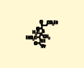 CCOC(=O)CC(=O)C(=O)SC(C)(C)C(NC(=O)C(C)C)C(=O)OCC